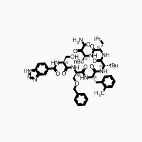 CCCC[C@H](NC(=O)[C@H](CC(C)C)NC(=O)[C@@H](NC(=O)[C@H](Cc1ccccc1C)NC(=O)[C@@H](COCc1ccccc1)NC(=O)[C@H](CO)NC(=O)c1ccc2[nH]nnc2c1)C(C)(C)C)C(=O)C(N)=O